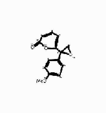 COc1ccc(C2(c3cccc(=O)o3)CO2)cc1